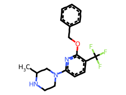 CC1CN(c2ccc(C(F)(F)F)c(OCc3ccccc3)n2)CCN1